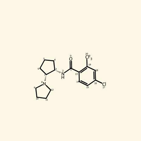 O=C(N[C@H]1CCC[C@H]1N1CCCC1)c1ccc(Cl)cc1C(F)(F)F